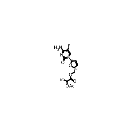 CCC(OC(C)=O)C(=O)OC[C@@H]1C=C[C@H](n2cc(F)c(N)nc2=O)O1